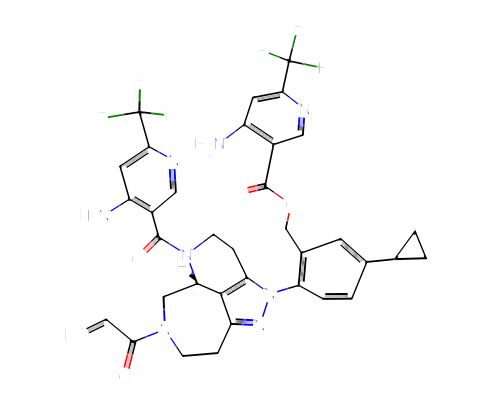 C=CC(=O)N1CCc2nn(-c3ccc(C4CC4)cc3COC(=O)c3cnc(C(F)(F)F)cc3N)c3c2[C@H](C1)N(C(=O)c1cnc(C(F)(F)F)cc1N)CC3